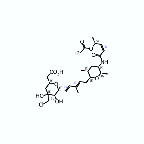 CC(/C=C/[C@H]1O[C@H](CC(=O)O)C[C@@](O)(CCl)[C@@H]1O)=C\C[C@@H]1O[C@H](C)[C@H](NC(=O)/C=C\[C@H](C)OC(=O)C(C)C)C[C@@H]1C